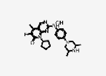 Cc1c(F)c(=O)n(C2CCCC2)c2nc(Nc3ccc(N4CC(C)NC(C)C4)cc3)ncc12.Cl